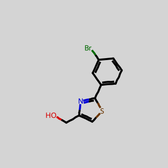 OCc1csc(-c2cccc(Br)c2)n1